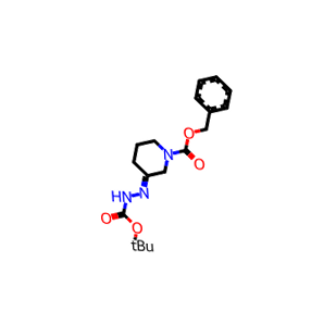 CC(C)(C)OC(=O)NN=C1CCCN(C(=O)OCc2ccccc2)C1